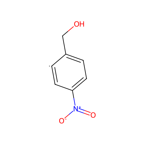 O=[N+]([O-])c1c[c]c(CO)cc1